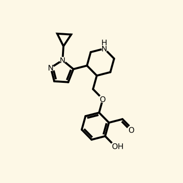 O=Cc1c(O)cccc1OCC1CCNCC1c1ccnn1C1CC1